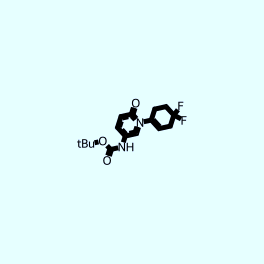 CC(C)(C)OC(=O)Nc1ccc(=O)n(C2=CCC(F)(F)CC2)c1